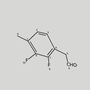 Cc1ccc(C[C]=O)c(F)c1F